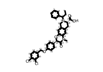 CCC(c1ccccc1)N1Cc2cc3c(cc2C[C@H]1C(=O)O)N(C)C(=O)[C@@H](c1ccc(OCc2ccc(Cl)c(Cl)c2)cc1)O3